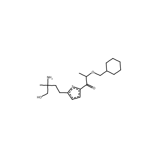 CC(OCC1CCCCC1)C(=O)c1ccc(CCC(C)(N)CO)s1